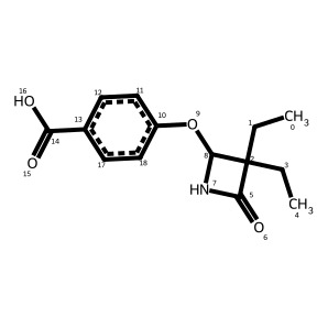 CCC1(CC)C(=O)NC1Oc1ccc(C(=O)O)cc1